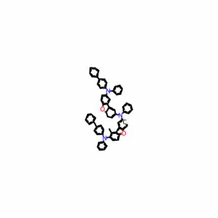 Cc1c(N(c2ccccc2)c2ccc(-c3ccccc3)cc2)ccc2oc3ccc(N(C4=CCC5Oc6ccc(N(c7ccccc7)c7ccc(-c8ccccc8)cc7)cc6C5=C4)c4ccccc4)cc3c12